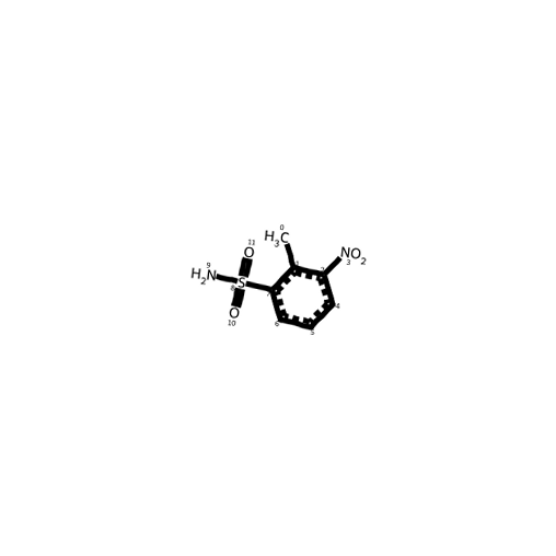 Cc1c([N+](=O)[O-])cccc1S(N)(=O)=O